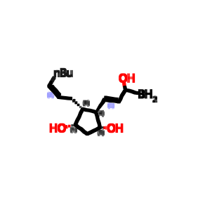 BC(O)/C=C/[C@@H]1[C@@H](C/C=C\CCCC)[C@@H](O)C[C@H]1O